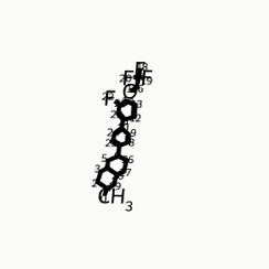 CC1CCC2CC(c3ccc(-c4ccc(OCC(F)(F)F)c(F)c4)cc3)CCC2C1